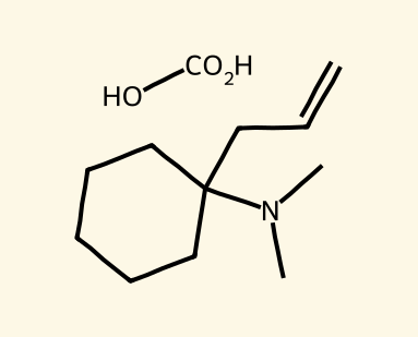 C=CCC1(N(C)C)CCCCC1.O=C(O)O